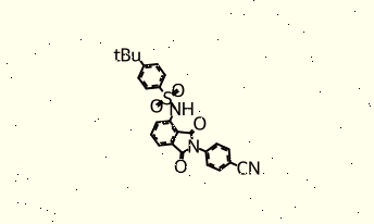 CC(C)(C)c1ccc(S(=O)(=O)Nc2cccc3c2C(=O)N(c2ccc(C#N)cc2)C3=O)cc1